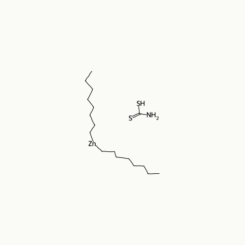 CCCCCCC[CH2][Zn][CH2]CCCCCCC.NC(=S)S